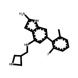 Cc1cccc(F)c1-c1cc(NCC2CNC2)c2cc(N)[nH]c2c1